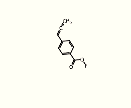 C=C=Cc1ccc(C(=O)OF)cc1